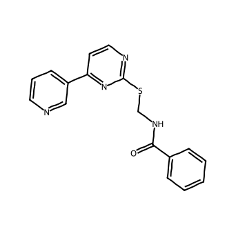 O=C(NCSc1nccc(-c2cccnc2)n1)c1ccccc1